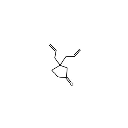 C=CCC1(CC=C)CCC(=O)C1